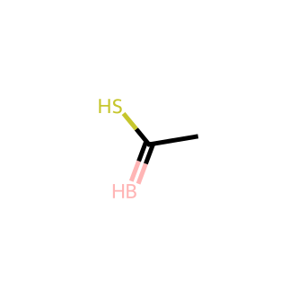 B=C(C)S